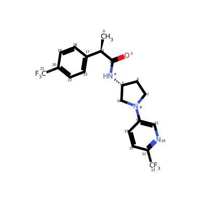 C[C@@H](C(=O)N[C@@H]1CCN(c2ccc(C(F)(F)F)nc2)C1)c1ccc(C(F)(F)F)cc1